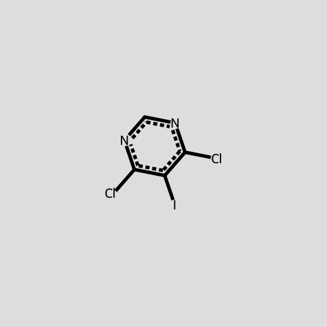 Clc1ncnc(Cl)c1I